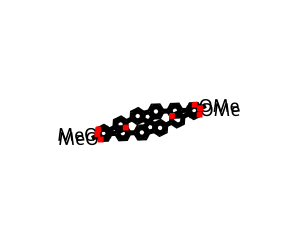 COc1ccc(-c2ccc(-c3ccc4c(c3)C3(c5cc(C6=CCC(c7ccc(OC)cc7)C=C6)ccc5-4)c4cc(-c5ccc(-c6ccc(OC)cc6)cc5)ccc4-c4ccc(-c5ccc(-c6ccc(OC)cc6)cc5)cc43)cc2)cc1